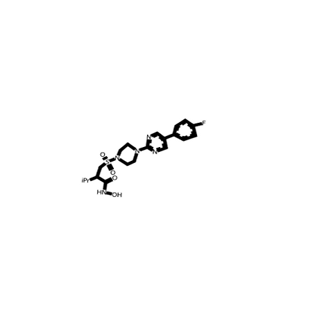 CC(C)C(CS(=O)(=O)N1CCN(c2ncc(-c3ccc(F)cc3)cn2)CC1)C(=O)NO